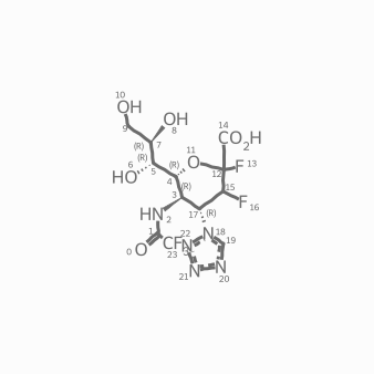 O=C(N[C@H]1[C@H]([C@H](O)[C@H](O)CO)OC(F)(C(=O)O)C(F)[C@@H]1n1cnnn1)C(F)(F)F